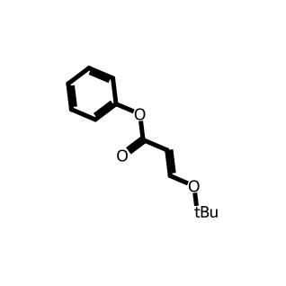 CC(C)(C)OC=CC(=O)Oc1ccccc1